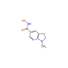 CN1CCc2cc(C(=O)NS)ccc21